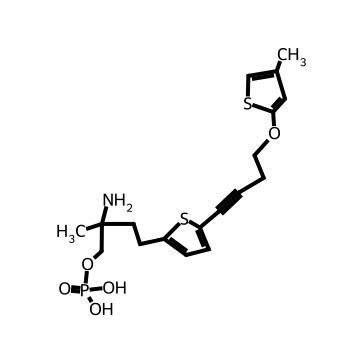 Cc1csc(OCCC#Cc2ccc(CCC(C)(N)COP(=O)(O)O)s2)c1